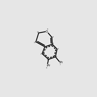 CC(C)c1cc2c(cc1C(C)C)=COCC=2